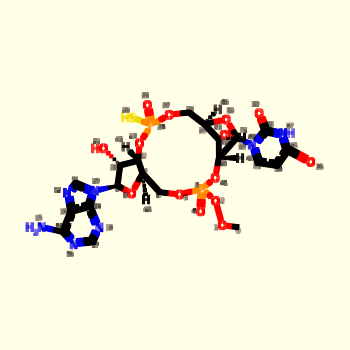 COOP1(=O)OC[C@H]2O[C@@H](n3cnc4c(N)ncnc43)[C@H](O)[C@@H]2OP(=O)(S)OC[C@H]2O[C@@H](n3ccc(=O)[nH]c3=O)[C@H](O1)[C@@H]2O